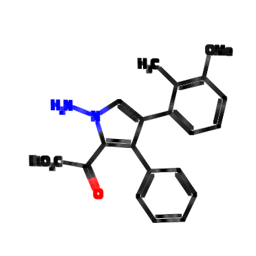 CCOC(=O)C(=O)c1c(-c2ccccc2)c(-c2cccc(OC)c2C)cn1N